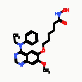 CCN(c1ccccc1)c1ncnc2cc(OC)c(OCCCCCC(=O)NO)cc12